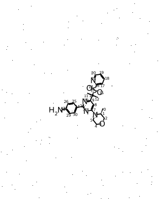 C[C@H]1COCCN1c1cc(C(C)(C)S(=O)(=O)c2ccccn2)nc(-c2ccc(N)cc2)n1